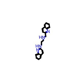 c1ccc2nc(CNCCCNc3ccc4ccccc4n3)ccc2c1